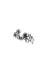 CCc1ccc([C@@]2(CCOS(C)(=O)=O)CCCCN(C(=O)Cc3cc(C(F)(F)F)cc(C(F)(F)F)c3)C2)cc1CC